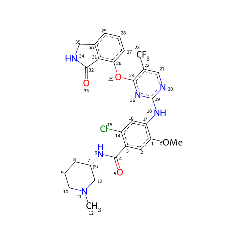 COc1cc(C(=O)N[C@H]2CCCN(C)C2)c(Cl)cc1Nc1ncc(C(F)(F)F)c(Oc2cccc3c2C(=O)NC3)n1